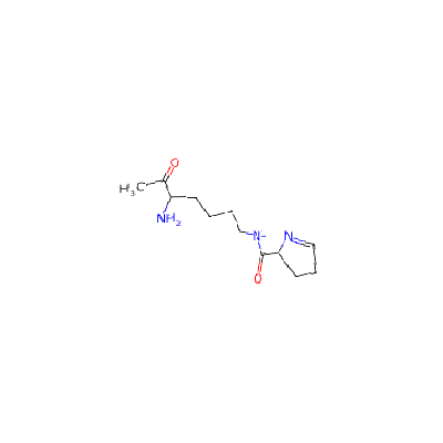 CC(=O)C(N)CCCCNC(=O)C1CCC=N1